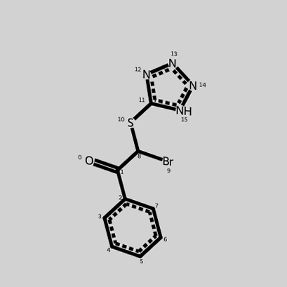 O=C(c1ccccc1)C(Br)Sc1nnn[nH]1